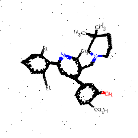 CCc1cccc(CC)c1-c1cc(-c2ccc(C(=O)O)c(O)c2)c(CN2CCCC(C)(C)C2)c(C)n1